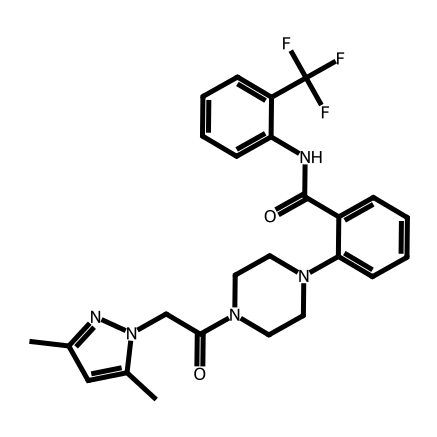 Cc1cc(C)n(CC(=O)N2CCN(c3ccccc3C(=O)Nc3ccccc3C(F)(F)F)CC2)n1